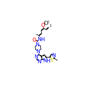 C=C/C(=C\C=C(/C)NC(=O)N1CCN(c2ncnc3[nH]c(-c4cnc(C)s4)cc23)CC1)OC(F)(F)F